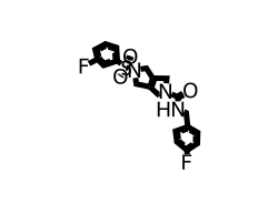 O=C(NCc1ccc(F)cc1)N1CC2=C(C1)CN(S(=O)(=O)c1cccc(F)c1)C2